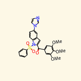 COc1cc(C(=O)c2cc3cc(-n4c[c]nc4)ccc3n2S(=O)(=O)c2ccccc2)cc(OC)c1OC